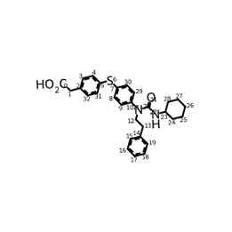 O=C(O)Cc1ccc(Sc2ccc(N(CCc3ccccc3)C(=O)NC3CCCCC3)cc2)cc1